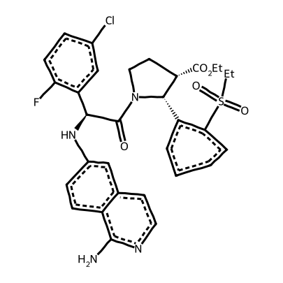 CCOC(=O)[C@H]1CCN(C(=O)[C@@H](Nc2ccc3c(N)nccc3c2)c2cc(Cl)ccc2F)[C@H]1c1ccccc1S(=O)(=O)CC